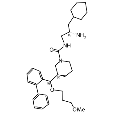 COCCCO[C@@H](c1ccccc1-c1ccccc1)[C@@H]1CCCN(C(=O)NC[C@@H](N)CC2CCCCC2)C1